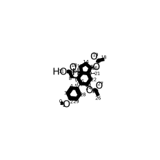 COc1ccc([C@@H]2[C@@H](CC(=O)O)[C@@H]3CC[C@H](OC(C)=O)[C@@]3(C)C[C@@H]2OC(C)=O)cc1